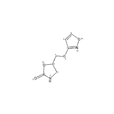 O=C1NCC(COc2ccon2)O1